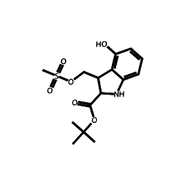 CC(C)(C)OC(=O)C1Nc2cccc(O)c2C1COS(C)(=O)=O